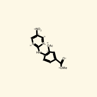 COC(=O)c1ccc(Nc2ncc([N+](=O)[O-])cn2)c(OC(C)=O)c1